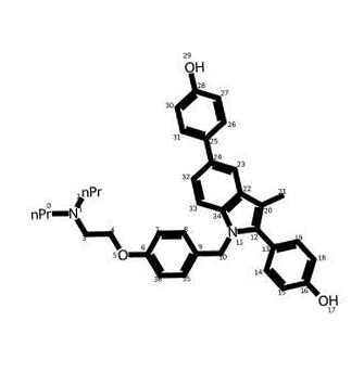 CCCN(CCC)CCOc1ccc(Cn2c(-c3ccc(O)cc3)c(C)c3cc(-c4ccc(O)cc4)ccc32)cc1